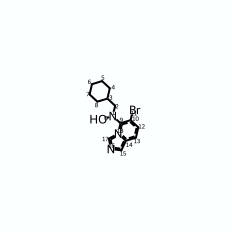 ON(CC1CCCCC1)c1c(Br)ccc2cncn12